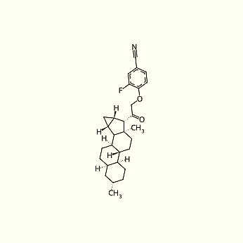 C[C@H]1CC[C@H]2[C@H](CC[C@H]3C4[C@@H]5C[C@@H]5[C@H](C(=O)COc5ccc(C#N)cc5F)[C@@]4(C)CC[C@H]23)C1